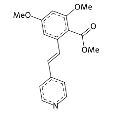 COC(=O)c1c(/C=C/c2ccncc2)cc(OC)cc1OC